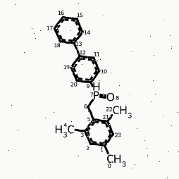 Cc1cc(C)c(C[PH](=O)c2ccc(-c3ccccc3)cc2)c(C)c1